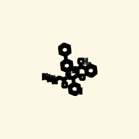 CC(NC(=O)C(c1cccnc1)N(C(=O)CN=[N+]=[N-])c1ccc(-c2ccccc2)cc1)c1ccccc1